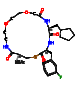 CC(=O)N[C@H]1CSC(=O)[C@H](Cc2cccc(F)c2)NC(=O)[C@H](CC2CCCC2)NC(=O)COCCOCCNC1=O